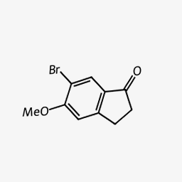 COc1cc2c(cc1Br)C(=O)CC2